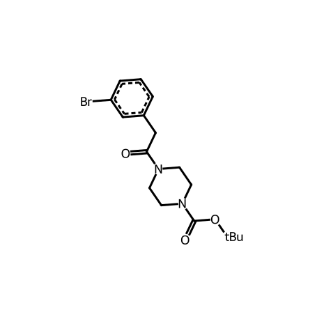 CC(C)(C)OC(=O)N1CCN(C(=O)Cc2cccc(Br)c2)CC1